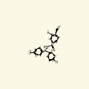 N#Cc1ccc(C(=O)N[C@H](c2ccc(Cl)cc2)c2ccc(Cl)cn2)cc1F